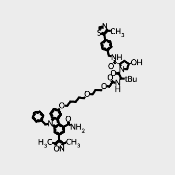 Cc1ncsc1-c1ccc(CNC(=O)[C@@H]2C[C@@H](O)CN2C(=O)C(NC(=O)COCCCOCCCCCOc2ccc3c(c2)c2c(C(N)=O)cc(-c4c(C)noc4C)cc2n3Cc2ccccc2)C(C)(C)C)cc1